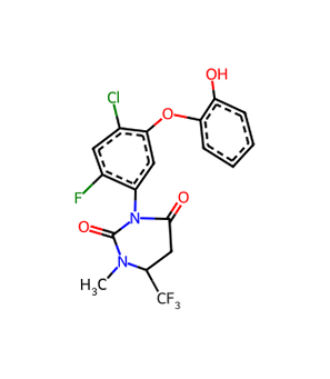 CN1C(=O)N(c2cc(Oc3ccccc3O)c(Cl)cc2F)C(=O)CC1C(F)(F)F